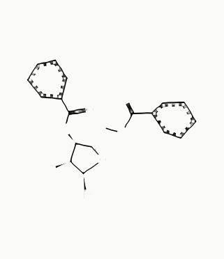 O=C(OC[C@@H]1O[C@@H](Br)[C@@H](F)[C@H]1OC(=O)c1ccccc1)c1ccccc1